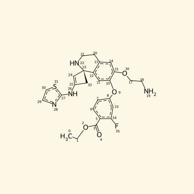 CCOC(=O)c1ccc(Oc2cc3c(cc2OCCN)CCN[C@@]32C=C(Nc3nccs3)C2)cc1F